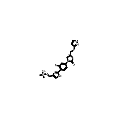 CC(C)(C)[Si](C)(C)OCc1c[nH]c(-c2ccc(N3C[C@@H](COc4ccon4)OC3=O)cc2F)n1